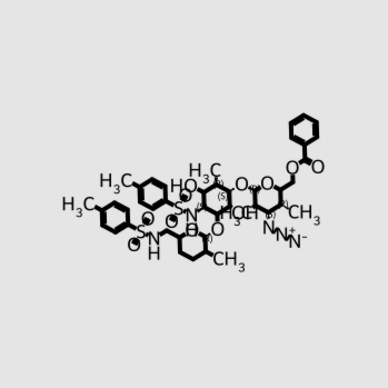 Cc1ccc(S(=O)(=O)NCC2CCC(C)[C@@H](OC3C(O)[C@@H](O[C@H]4OC(COC(=O)c5ccccc5)[C@H](C)[C@H](N=[N+]=[N-])C4C)[C@H](C)C(O)[C@@H]3NS(=O)(=O)c3ccc(C)cc3)O2)cc1